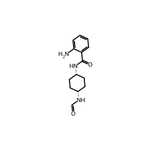 Nc1ccccc1C(=O)N[C@H]1CC[C@@H](NC=O)CC1